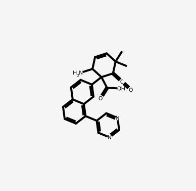 CC1(C)C=CC(N)C(C(=O)O)(c2ccc3cccc(-c4cncnc4)c3c2)C1=C=O